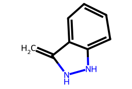 C=C1NNc2ccccc21